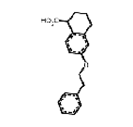 O=C(O)C1CCCc2cc(OCCc3ccccc3)ccc21